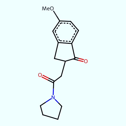 COc1ccc2c(c1)CC(CC(=O)N1CCCC1)C2=O